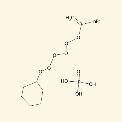 C=C(CCC)OOOOOOC1CCCCC1.O=P(O)(O)O